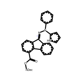 CCCCCCCCCCOC(=O)c1cccc2c1-c1ccccc1/C2=N\N(c1ccccc1)c1ccc[nH]1